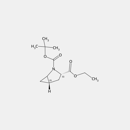 CCOC(=O)[C@@H]1C[C@@H]2CC2N1C(=O)OC(C)(C)C